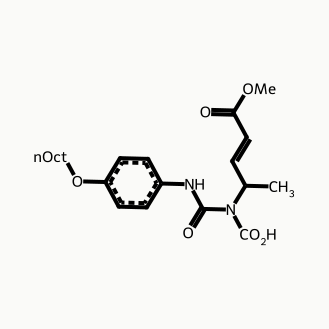 CCCCCCCCOc1ccc(NC(=O)N(C(=O)O)C(C)C=CC(=O)OC)cc1